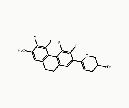 CCCC1CC=C(c2cc3c(c(F)c2F)-c2c(cc(C)c(F)c2F)CC3)OC1